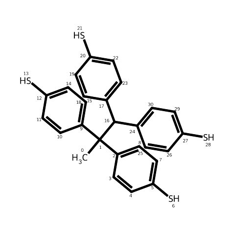 CC(c1ccc(S)cc1)(c1ccc(S)cc1)C(c1ccc(S)cc1)c1ccc(S)cc1